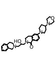 O=C1c2ccc(N3CCC(N4CCOCC4)CC3)cc2CCN1CC(O)CN1CCc2ccccc2C1